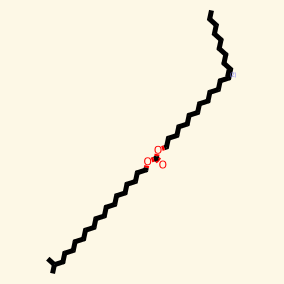 CCCCCCCC/C=C\CCCCCCCCCCCCOC(=O)OCCCCCCCCCCCCCCCCCC(C)C